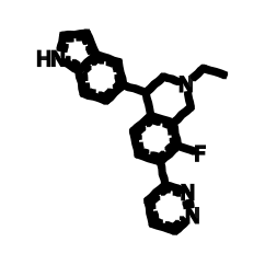 CCN1Cc2c(ccc(-c3cccnn3)c2F)C(c2ccc3[nH]ccc3c2)C1